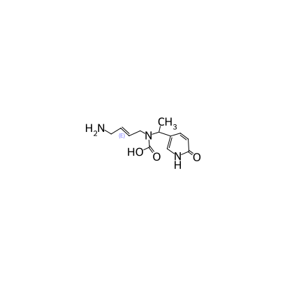 CC(c1ccc(=O)[nH]c1)N(C/C=C/CN)C(=O)O